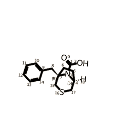 O=C(O)N1[C@H]2CC[C@@]1(Cc1ccccc1)CSC2